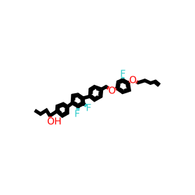 C=CCCCOc1ccc(OCc2ccc(-c3ccc(-c4ccc(C(O)CCC)cc4)c(F)c3F)cc2)cc1F